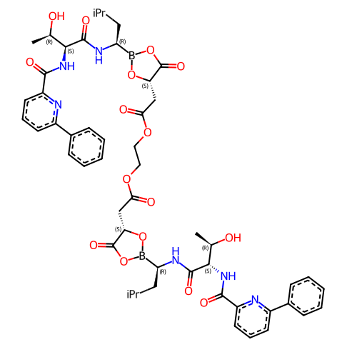 CC(C)C[C@H](NC(=O)[C@@H](NC(=O)c1cccc(-c2ccccc2)n1)[C@@H](C)O)B1OC(=O)[C@H](CC(=O)OCCOC(=O)C[C@@H]2OB([C@H](CC(C)C)NC(=O)[C@@H](NC(=O)c3cccc(-c4ccccc4)n3)[C@@H](C)O)OC2=O)O1